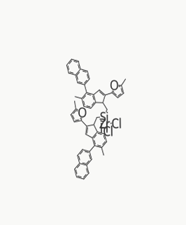 Cc1ccc(C2=Cc3c(ccc(C)c3-c3ccc4ccccc4c3)C2C[SiH](CC2C(c3ccc(C)o3)=Cc3c2ccc(C)c3-c2ccc3ccccc3c2)[Zr]([Cl])[Cl])o1